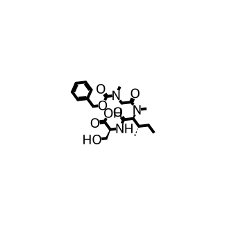 CC[C@H](C)[C@@H](C(=O)N[C@@H](CO)C(=O)O)N(C)C(=O)CN(C)C(=O)OCc1ccccc1